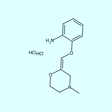 CN1CCOC(=COc2ccccc2N)C1.Cl.Cl